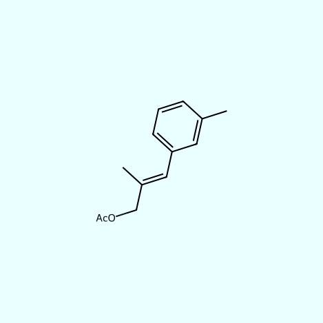 CC(=O)OC/C(C)=C/c1cccc(C)c1